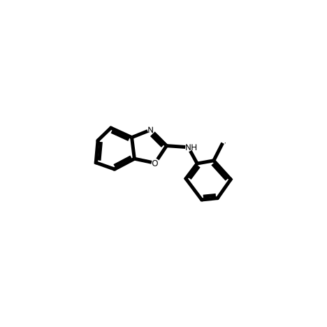 [CH2]c1ccccc1Nc1nc2ccccc2o1